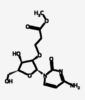 COC(=O)CCO[C@@H]1[C@H](O)[C@@H](CO)O[C@H]1n1ccc(N)nc1=O